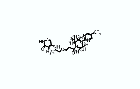 [2H]C1([2H])N(C(=O)CCOC[C@H](C)Nc2cn[nH]c(=O)c2C(F)(F)F)C([2H])([2H])C([2H])([2H])N(c2ncc(C(F)(F)F)cn2)C1([2H])[2H]